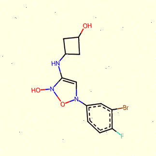 OC1CC(NC2=CN(c3ccc(F)c(Br)c3)ON2O)C1